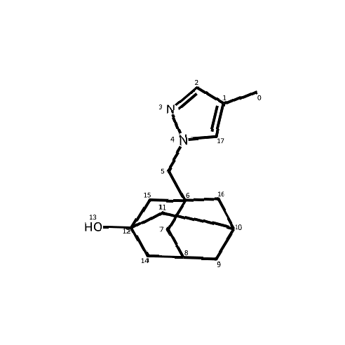 Cc1cnn(CC23CC4CC(CC(O)(C4)C2)C3)c1